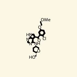 COCCOc1ccc(Cl)c(C(=O)c2c[nH]c3ncnc(N[C@@H]4CC[C@@H](CO)OC4)c23)c1